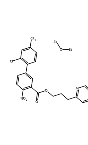 CCOCC.O=C(OCCCc1cnccn1)c1cc(-c2ccc(C(F)(F)F)cc2Cl)ccc1[N+](=O)[O-]